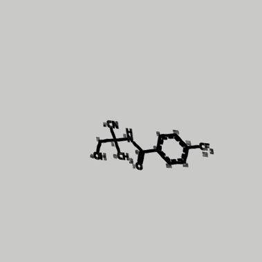 CC(C#N)(CO)NC(=O)c1ccc(C(F)(F)F)cc1